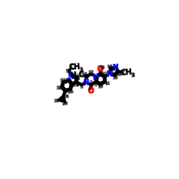 CCn1cc(CN2C(=O)c3ccc(-n4cnc(C)c4)c(=O)n3C[C@@H]2C)c2cc(C3CC3)ccc21